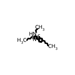 CCCCCc1ccc2c(c1)sc1c(NCCCC)n(CCCCC)nc12